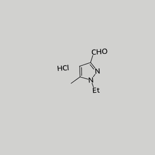 CCn1nc(C=O)cc1C.Cl